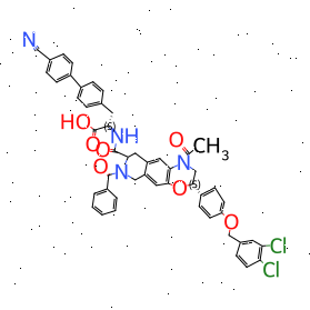 CC(=O)N1C[C@H](c2ccc(OCc3ccc(Cl)c(Cl)c3)cc2)Oc2cc3c(cc21)CC(C(=O)N[C@@H](Cc1ccc(-c2ccc(C#N)cc2)cc1)C(=O)O)N(C(=O)c1ccccc1)C3